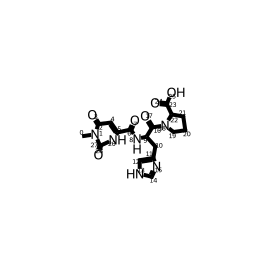 Cn1c(=O)cc(C(=O)NC(Cc2c[nH]cn2)C(=O)N2CCCC2C(=O)O)[nH]c1=O